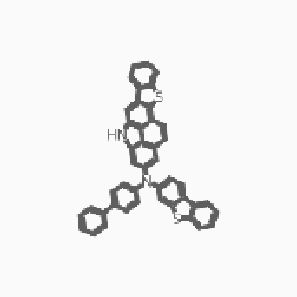 c1ccc(-c2ccc(N(c3cc4ccc5c6sc7ccccc7c6cc6[nH]c(c3)c4c65)c3ccc4c(c3)sc3ccccc34)cc2)cc1